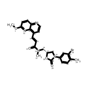 COc1ccc2nccc(/C=C/C(=O)N(C)C[C@@H]3CN(c4ccc(C)c(Br)c4)C(=O)O3)c2n1